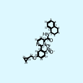 O=C(N[C@H]1CCCc2ccccc21)c1ccnc(-c2cc(OCC3CC3)ccc2[N+](=O)[O-])n1